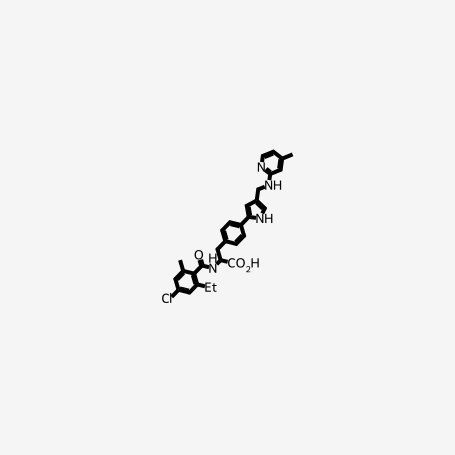 CCc1cc(Cl)cc(C)c1C(=O)NC(Cc1ccc(-c2cc(CNc3cc(C)ccn3)c[nH]2)cc1)C(=O)O